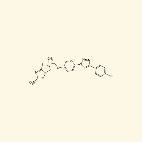 CCc1ccc(-c2cn(-c3ccc(OC[C@@]4(C)Cn5cc([N+](=O)[O-])nc5O4)cc3)nn2)cc1